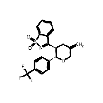 C=C1CO[C@H](c2ccc(C(F)(F)F)cc2)[C@@H](C2=NS(=O)(=O)c3ccccc32)C1